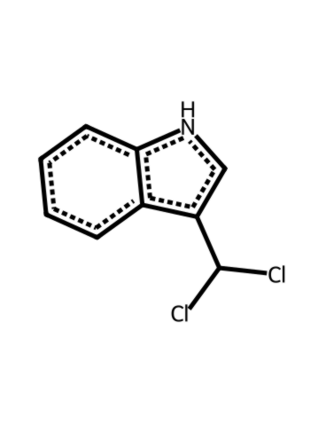 ClC(Cl)c1c[nH]c2ccccc12